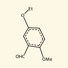 CCOc1ccc(OC)c(C=O)c1